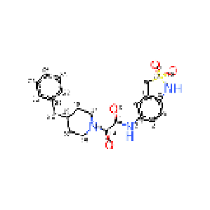 O=C(Nc1ccc2c(c1)CS(=O)(=O)N2)C(=O)N1CCC(Cc2ccccc2)CC1